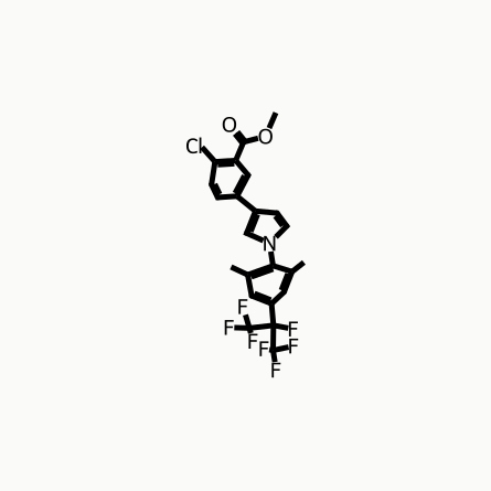 COC(=O)c1cc(-c2ccn(-c3c(C)cc(C(F)(C(F)(F)F)C(F)(F)F)cc3C)c2)ccc1Cl